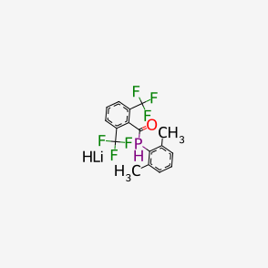 Cc1cccc(C)c1PC(=O)c1c(C(F)(F)F)cccc1C(F)(F)F.[LiH]